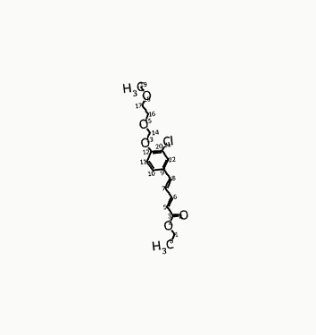 CCOC(=O)/C=C/C=C/c1ccc(OCOCCOC)c(Cl)c1